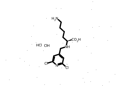 Cl.Cl.NCCCC[C@H](NCc1cc(Cl)nc(Cl)c1)C(=O)O